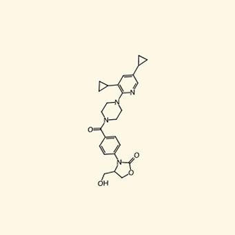 O=C(c1ccc(N2C(=O)OCC2CO)cc1)N1CCN(c2ncc(C3CC3)cc2C2CC2)CC1